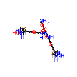 N=C1N[C@H]2[C@H](CS[C@H]2CCCCCOCCCCNC(=O)CN(CCOCCOCCN)CC(=O)NCCCCOCCCCC[C@@H]2SC[C@@H]3N/C(=N\O)N[C@@H]32)N1